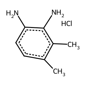 Cc1ccc(N)c(N)c1C.Cl